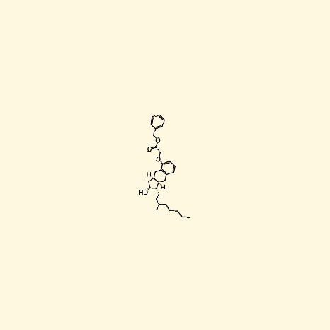 CCCCC[C@@H](C)CC[C@H]1[C@@H]2Cc3cccc(OCC(=O)OCc4ccccc4)c3C[C@@H]2C[C@@H]1O